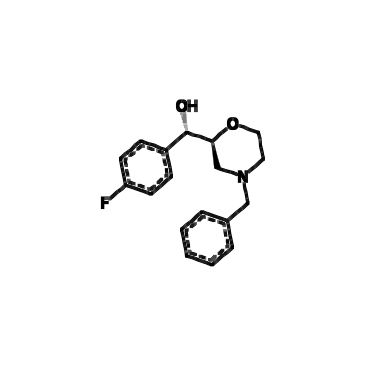 O[C@@H](c1ccc(F)cc1)[C@@H]1CN(Cc2ccccc2)CCO1